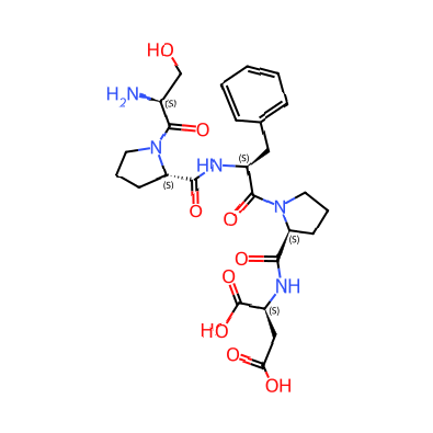 N[C@@H](CO)C(=O)N1CCC[C@H]1C(=O)N[C@@H](Cc1ccccc1)C(=O)N1CCC[C@H]1C(=O)N[C@@H](CC(=O)O)C(=O)O